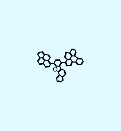 c1ccc2c(c1)ccc1c2oc2c(-c3ccc4ccc5cccc6ccc3c4c56)ccc(-c3ccc4c5ccccc5c5cccc6ccc3c4c65)c21